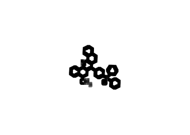 CC1Cc2c(nc3c(ccc4ccccc43)c2C2=CC=C(P(=O)(C3=CC=CCC3)c3ccccc3)CC2)-c2ccccc21